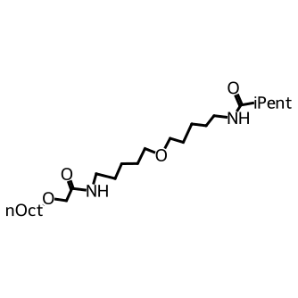 CCCCCCCCOCC(=O)NCCCCCOCCCCCNC(=O)C(C)CCC